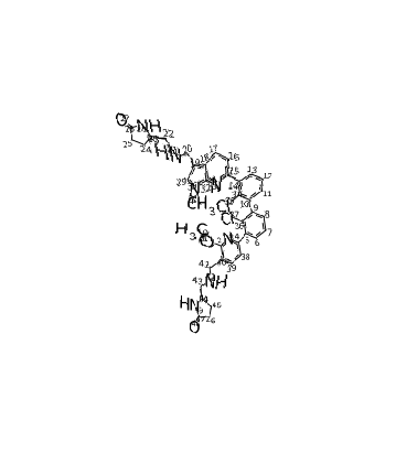 COc1nc(-c2cccc(-c3cccc(-c4ccc5c(CNC[C@H]6CCC(=O)N6)cn(C)c5n4)c3Cl)c2Cl)ccc1CNC[C@H]1CCC(=O)N1